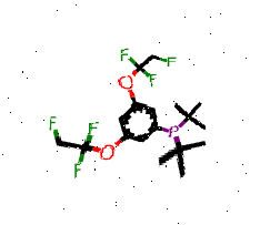 CC(C)(C)P(c1cc(OC(F)(F)CF)cc(OC(F)(F)CF)c1)C(C)(C)C